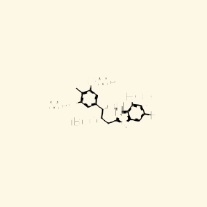 COc1cc([C@@H](O)[C@H](Cc2nc3c(C(=O)O)cc(F)cc3s2)OCC(C)C)cc(OC)c1C